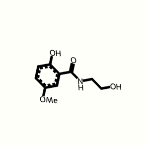 COc1ccc(O)c(C(=O)NCCO)c1